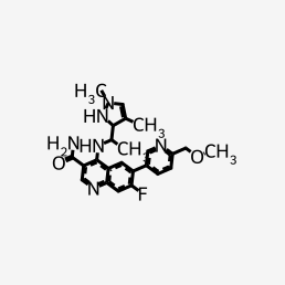 COCc1ccc(-c2cc3c(NC(C)C4NN(C)C=C4C)c(C(N)=O)cnc3cc2F)cn1